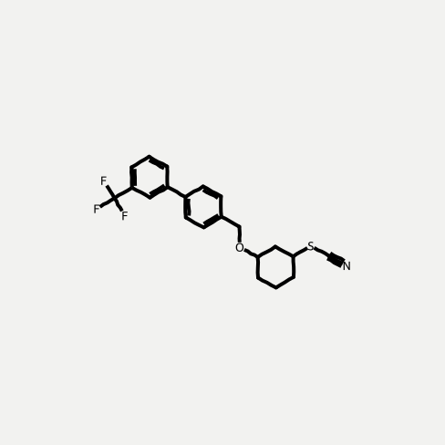 N#CSC1CCCC(OCc2ccc(-c3cccc(C(F)(F)F)c3)cc2)C1